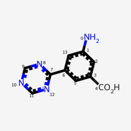 Nc1cc(C(=O)O)cc(-c2ncncn2)c1